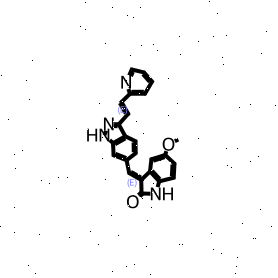 COc1ccc2c(c1)/C(=C\c1ccc3c(/C=C/c4ccccn4)n[nH]c3c1)C(=O)N2